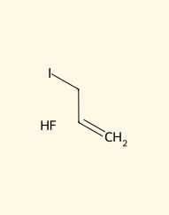 C=CCI.F